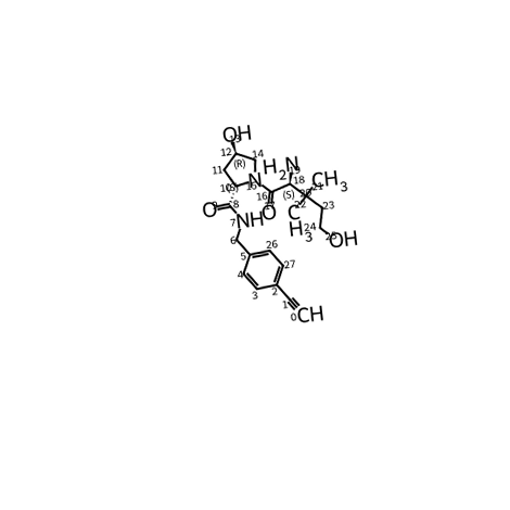 C#Cc1ccc(CNC(=O)[C@@H]2C[C@@H](O)CN2C(=O)[C@@H](N)C(C)(C)CCO)cc1